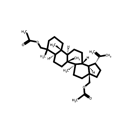 C=C(C)[C@@H]1CC[C@]2(COC(C)=O)CC[C@]3(C)[C@H](CC[C@@H]4[C@@]5(C)CCCC(C)(COC(C)=O)[C@@H]5CC[C@]43C)[C@@H]12